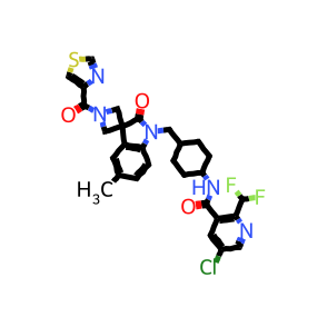 Cc1ccc2c(c1)C1(CN(C(=O)c3cscn3)C1)C(=O)N2CC1CCC(NC(=O)c2cc(Cl)cnc2C(F)F)CC1